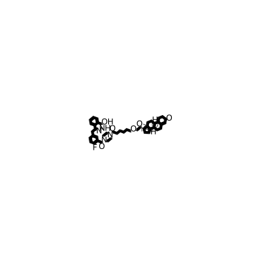 C[C@]12CC[C@H]3[C@@H](CCC4=CC(=O)CC[C@@]43C)[C@@H]1CC[C@@H]2C(=O)COCCCCCC(=O)N1CCN(C(=O)c2cc(CC3=NNC(O)c4ccccc43)ccc2F)CC1